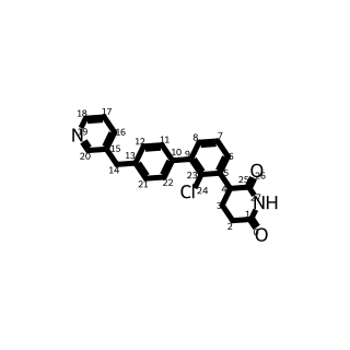 O=C1CCC(c2cccc(-c3ccc(Cc4cccnc4)cc3)c2Cl)C(=O)N1